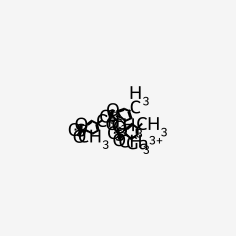 CC1=CCC(C)(S(=O)(=O)[O-])C=C1.CC1=CCC(C)(S(=O)(=O)[O-])C=C1.CC1=CCC(C)(S(=O)(=O)[O-])C=C1.[Ga+3]